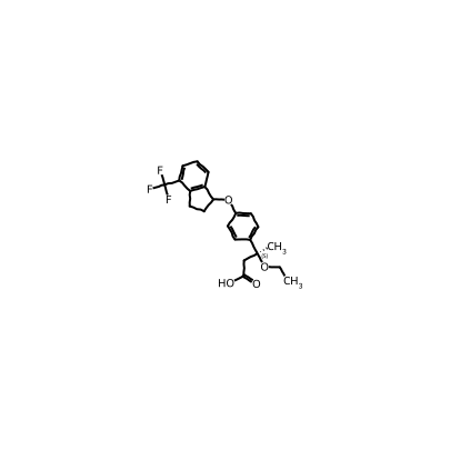 CCO[C@@](C)(CC(=O)O)c1ccc(OC2CCc3c2cccc3C(F)(F)F)cc1